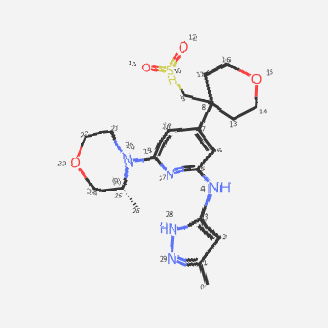 Cc1cc(Nc2cc(C3(C[SH](=O)=O)CCOCC3)cc(N3CCOC[C@H]3C)n2)[nH]n1